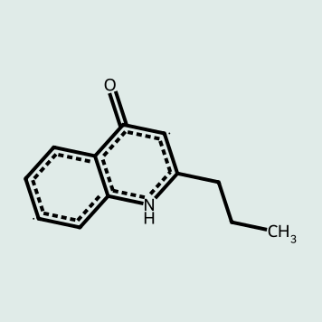 CCCc1[c]c(=O)c2cc[c]cc2[nH]1